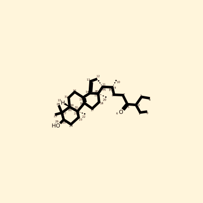 CCC(CC)C(=O)CC[C@@H](C)[C@H]1CC=C2C3=C(CC[C@@]21C)[C@@]1(C)CCC(O)C(C)(C)[C@@H]1CC3